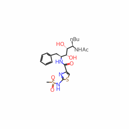 CCCC[C@@H](NC(C)=O)[C@@H](O)[C@H](O)[C@H](Cc1ccccc1)NC(=O)c1csc(NS(C)(=O)=O)n1